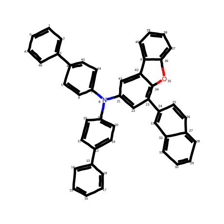 c1ccc(-c2ccc(N(c3ccc(-c4ccccc4)cc3)c3cc(-c4ccc5ccccc5c4)c4oc5ccccc5c4c3)cc2)cc1